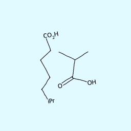 CC(C)C(=O)O.CC(C)CCCCC(=O)O